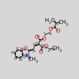 C=C(C)C(=O)OCCOC(=O)/C(=C/C=C1\Oc2ccccc2N1C)C(=O)OCC